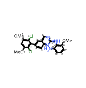 COc1cc(OC)c(Cl)c(-c2ccc3nc(Nc4c(N)cccc4OC)ncc3c2)c1Cl